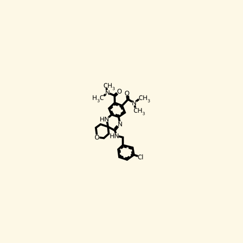 CN(C)C(=O)c1cc2c(cc1C(=O)N(C)C)NC1(CCOCC1)C(NCc1cccc(Cl)c1)=N2